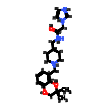 CC1(C)COc2cccc(CN3CCC(CNC(=O)Cn4ccnc4)CC3)c2O1